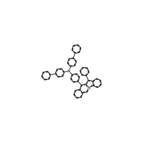 c1ccc(-c2ccc(N(c3ccc(-c4ccccc4)cc3)c3ccc(-c4c5ccccc5cn5c4c(-c4ccccc4)c4ccccc45)cc3)cc2)cc1